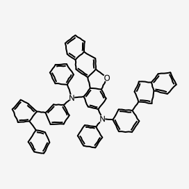 c1ccc(-c2ccccc2-c2cccc(N(c3ccccc3)c3cc(N(c4ccccc4)c4cccc(-c5ccc6ccccc6c5)c4)cc4oc5cc6ccccc6cc5c34)c2)cc1